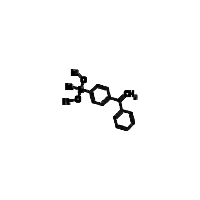 C=C(c1ccccc1)c1ccc([Si](CC)(OCC)OCC)cc1